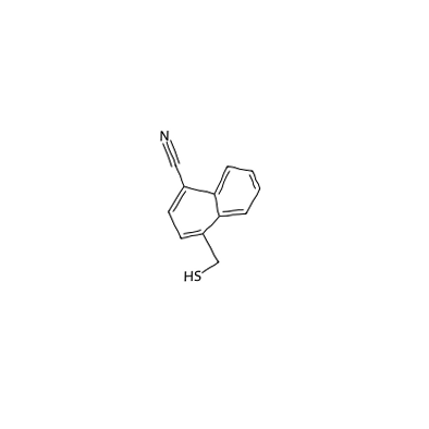 N#Cc1ccc(CS)c2ccccc12